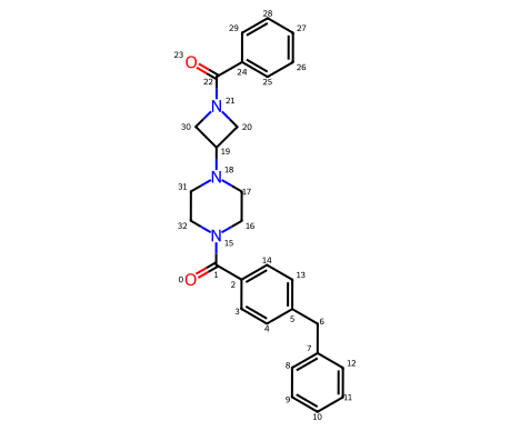 O=C(c1ccc(Cc2ccccc2)cc1)N1CCN(C2CN(C(=O)c3ccccc3)C2)CC1